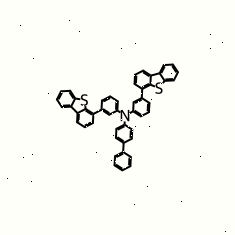 c1ccc(-c2ccc(N(c3cccc(-c4cccc5c4sc4ccccc45)c3)c3cccc(-c4cccc5c4sc4ccccc45)c3)cc2)cc1